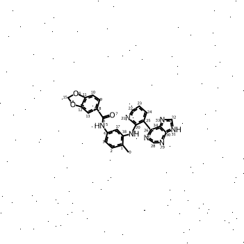 Cc1ccc(NC(=O)c2ccc3c(c2)OCO3)cc1Nc1ncccc1-c1ncnc2[nH]cnc12